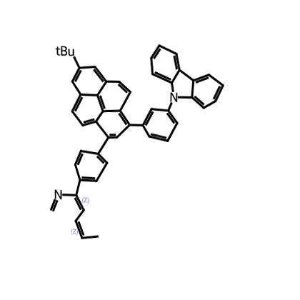 C=N/C(=C\C=C/C)c1ccc(-c2cc(-c3cccc(-n4c5ccccc5c5ccccc54)c3)c3ccc4cc(C(C)(C)C)cc5ccc2c3c54)cc1